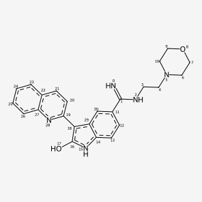 N=C(NCCN1CCOCC1)c1ccc2[nH]c(O)c(-c3ccc4ccccc4n3)c2c1